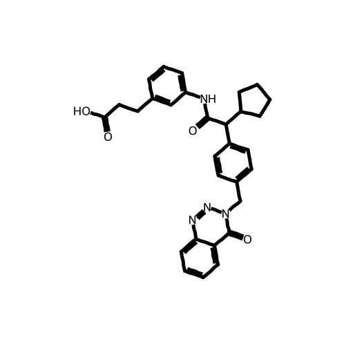 O=C(O)CCc1cccc(NC(=O)C(c2ccc(Cn3nnc4ccccc4c3=O)cc2)C2CCCC2)c1